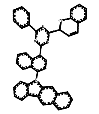 C1=CC(c2nc(-c3ccccc3)nc(-c3ccc(-n4c5ccccc5c5cc6ccccc6cc54)c4ccccc34)n2)Nc2ccccc21